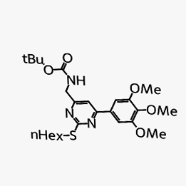 CCCCCCSc1nc(CNC(=O)OC(C)(C)C)cc(-c2cc(OC)c(OC)c(OC)c2)n1